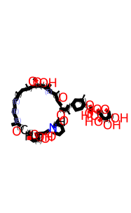 CO[C@H]1C[C@@H]2CC[C@@H](C)[C@@](O)(O2)C(=O)C(=O)N2CCCC[C@H]2C(=O)O[C@H]([C@H](C)C[C@H]2CC[C@@H](OC(=O)O[C@@]3(O)OC[C@H](O)[C@H](O)C3O)[C@H](C)C2)CC(=O)[C@H](C)/C=C(\C)[C@@H](O)[C@@H](OC)C(=O)[C@H](C)C[C@H](C)/C=C/C=C/C=C/1C